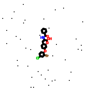 O=C(O)/C(=C\c1ccc(Oc2ccc(Cl)cc2Br)cc1)NC(=O)c1ccccc1